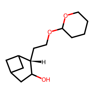 OC1CC2CC(C2)[C@@H]1CCOC1CCCCO1